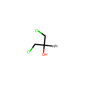 CCCC(O)(CCl)CCl